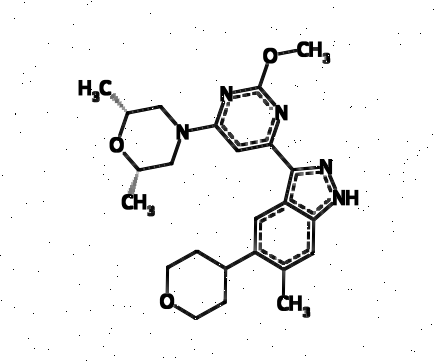 COc1nc(-c2n[nH]c3cc(C)c(C4CCOCC4)cc23)cc(N2C[C@@H](C)O[C@@H](C)C2)n1